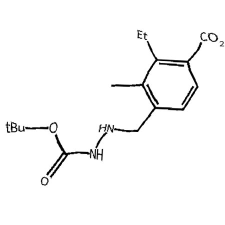 CCc1c(C(=O)O)ccc(CNNC(=O)OC(C)(C)C)c1C